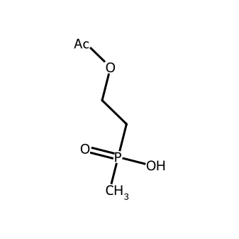 CC(=O)OCCP(C)(=O)O